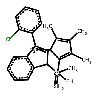 CC1=C(C)C(C)[C]([Zr]([CH3])([CH3])(=[SiH2])[CH]2C=C(c3ccccc3Cl)c3ccccc32)=C1C